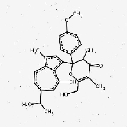 COc1ccc(C2(c3cc(C)c4ccc(C(C)C)cc(C)c3-4)OC(CO)=C(C)C(=O)C2O)cc1